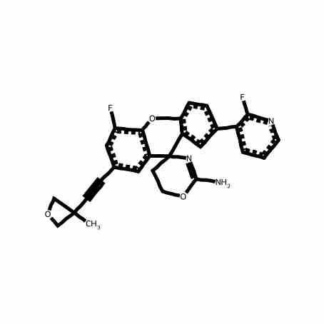 CC1(C#Cc2cc(F)c3c(c2)C2(CCOC(N)=N2)c2cc(-c4cccnc4F)ccc2O3)COC1